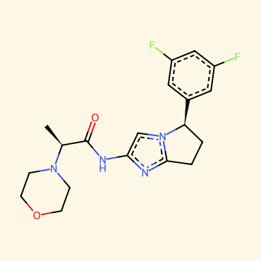 C[C@@H](C(=O)Nc1cn2c(n1)CC[C@@H]2c1cc(F)cc(F)c1)N1CCOCC1